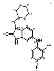 O=c1[nH]c2cc(Nc3ccc(F)cc3F)ccc2n1CC1CCCCC1